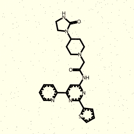 O=C(CN1CCC(N2CCNC2=O)CC1)Nc1cc(-c2ccccn2)nc(-c2cccs2)n1